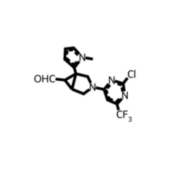 Cn1cccc1C12CN(c3cc(C(F)(F)F)nc(Cl)n3)CC1C2C=O